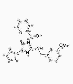 COc1cccc(CNc2nc(-c3cccs3)nn2C(=O)c2ccccc2)c1